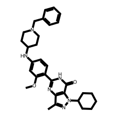 COc1cc(NC2CCN(Cc3ccccc3)CC2)ccc1-c1nc2c(C)nn(C3CCCCC3)c2c(=O)[nH]1